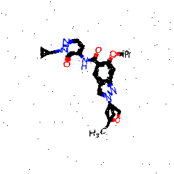 CC(C)Oc1cc2nn(C34COC(C)(C3)C4)cc2cc1C(=O)Nc1ccnn(C2CC2)c1=O